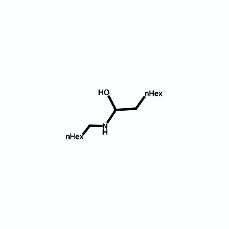 CCCCCCCNC(O)CCCCCCC